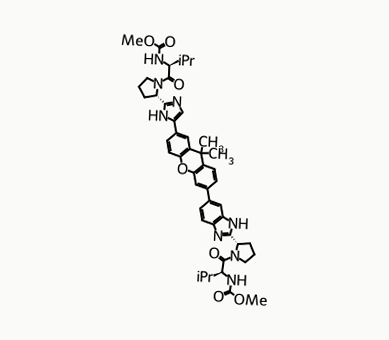 COC(=O)N[C@H](C(=O)N1CCC[C@H]1c1ncc(-c2ccc3c(c2)C(C)(C)c2ccc(-c4ccc5nc([C@@H]6CCCN6C(=O)[C@@H](NC(=O)OC)C(C)C)[nH]c5c4)cc2O3)[nH]1)C(C)C